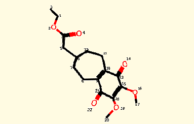 CCOC(=O)CC1CCC2=C(CC1)C(=O)C(OC)=C(OC)C2=O